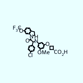 COc1cc(NC(C(=O)N2CCc3ccc(OC(F)(F)F)cc32)c2ccc(Cl)cc2)cc(O[C@H]2C[C@@H](C(=O)O)C2)c1